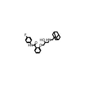 O=C(Nc1ccc(F)cc1)c1ccccc1OCC(O)CNCC12CC3CC(CC(C3)C1)C2